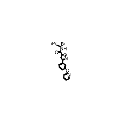 [B][C@H](CC(C)C)NC(=O)C1CC(c2cccc(Oc3ccccn3)c2)=NO1